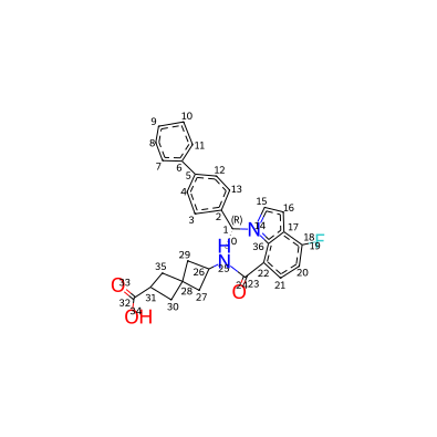 C[C@H](c1ccc(-c2ccccc2)cc1)n1ccc2c(F)ccc(C(=O)NC3CC4(C3)CC(C(=O)O)C4)c21